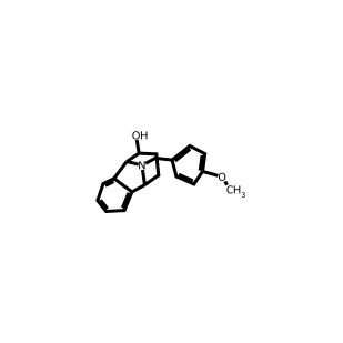 COc1ccc(CN2C3CCC(O)C2c2ccccc23)cc1